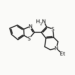 CCN1CCc2c(sc(N)c2-c2nc3ccccc3s2)C1